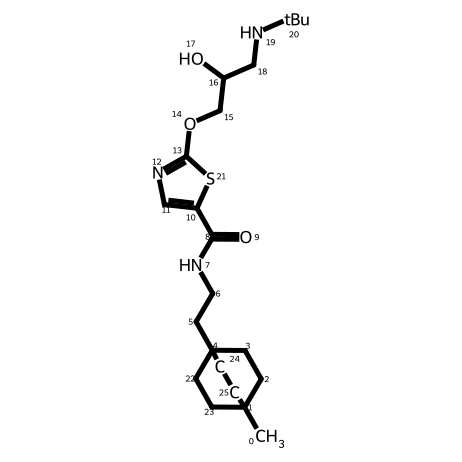 CC12CCC(CCNC(=O)c3cnc(OCC(O)CNC(C)(C)C)s3)(CC1)CC2